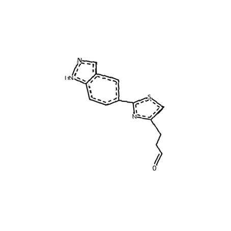 O=CCCc1csc(-c2ccc3[nH]ncc3c2)n1